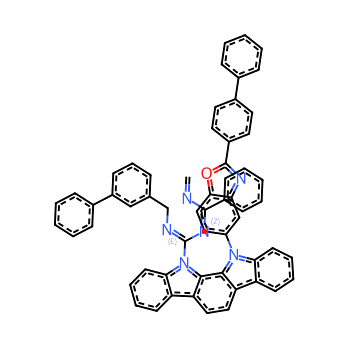 C=N/C(=N\C(=N/Cc1cccc(-c2ccccc2)c1)n1c2ccccc2c2ccc3c4ccccc4n(-c4ccc5oc(-c6ccc(-c7ccccc7)cc6)nc5c4)c3c21)c1ccccc1